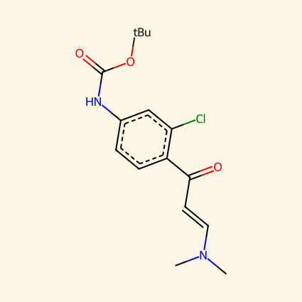 CN(C)C=CC(=O)c1ccc(NC(=O)OC(C)(C)C)cc1Cl